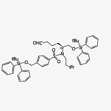 CC(C)CCN([C@@H](CCCC=O)CO[Si](c1ccccc1)(c1ccccc1)C(C)(C)C)S(=O)(=O)c1ccc(CO[Si](c2ccccc2)(c2ccccc2)C(C)(C)C)cc1